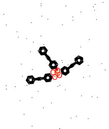 O=P(Oc1ccc(C#Cc2ccccc2)cc1)(Oc1ccc(C#Cc2ccccc2)cc1)Oc1ccc(C#Cc2ccccc2)cc1